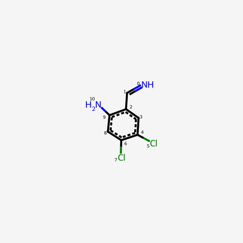 N=Cc1cc(Cl)c(Cl)cc1N